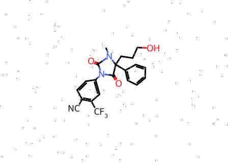 CN1C(=O)N(c2ccc(C#N)c(C(F)(F)F)c2)C(=O)C1(CCCO)c1ccccc1